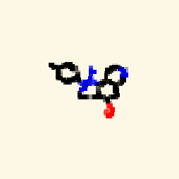 Cc1ccc(N2CCC3C(=O)C=c4cnccc4=C3N2)cc1